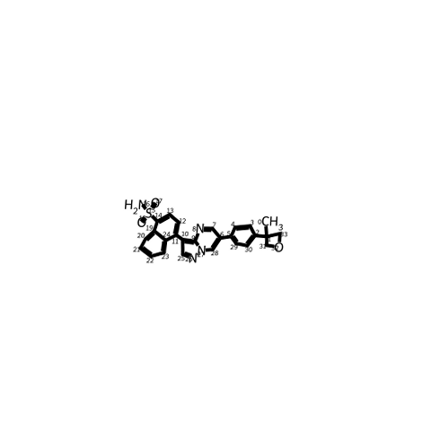 CC1(c2ccc(-c3cnc4c(-c5ccc(S(N)(=O)=O)c6ccccc56)cnn4c3)cc2)COC1